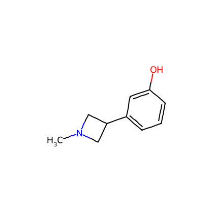 CN1CC(c2cccc(O)c2)C1